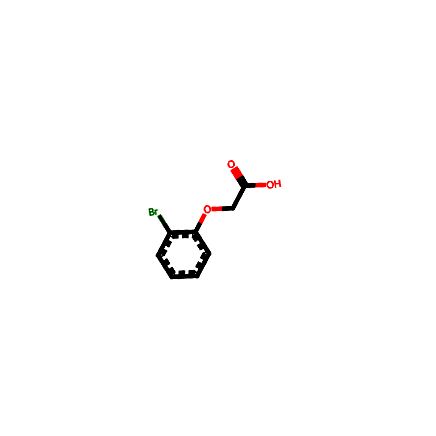 O=C(O)COc1ccccc1Br